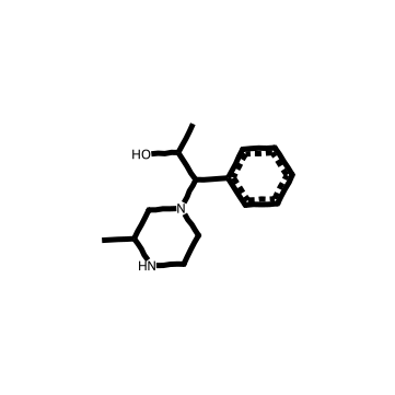 CC1CN(C(c2ccccc2)C(C)O)CCN1